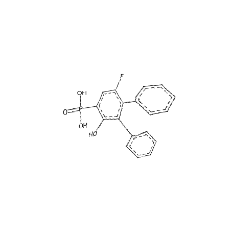 O=P(O)(O)c1cc(F)c(-c2ccccc2)c(-c2ccccc2)c1O